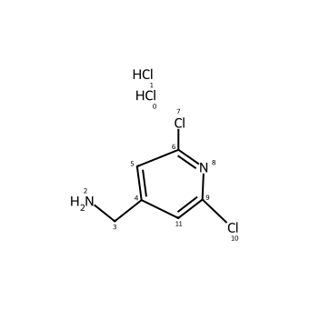 Cl.Cl.NCc1cc(Cl)nc(Cl)c1